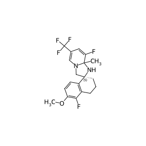 COc1ccc2c(c1F)CCC[C@@]21CN2C=C(C(F)(F)F)C=C(F)C2(C)N1